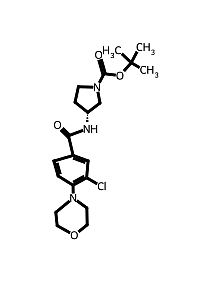 CC(C)(C)OC(=O)N1CC[C@@H](NC(=O)c2ccc(N3CCOCC3)c(Cl)c2)C1